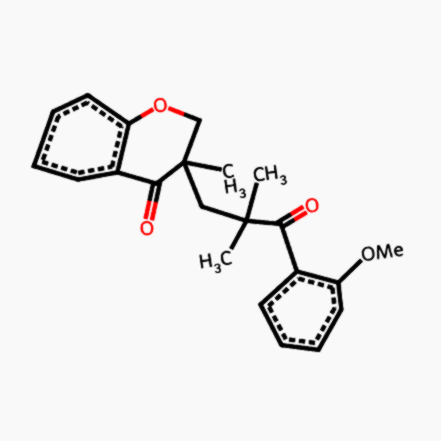 COc1ccccc1C(=O)C(C)(C)CC1(C)COc2ccccc2C1=O